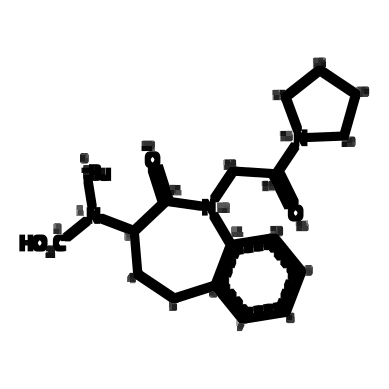 CC(C)(C)N(C(=O)O)C1CCc2ccccc2N(CC(=O)N2CCCC2)C1=O